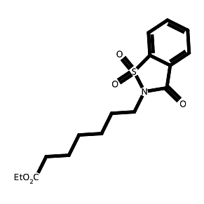 CCOC(=O)CCCCCCN1C(=O)c2ccccc2S1(=O)=O